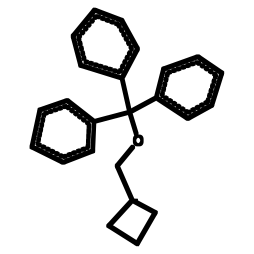 c1ccc(C(OC[C]2CCC2)(c2ccccc2)c2ccccc2)cc1